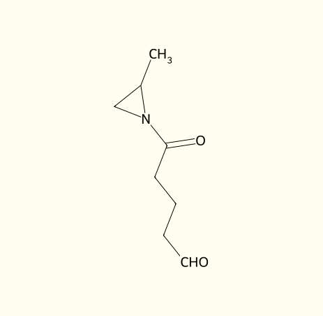 CC1CN1C(=O)CCCC=O